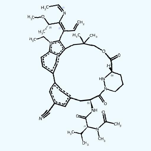 C=C/C(=C(\N=C/C)[C@H](C)OC)c1c2c3cc(ccc3n1CC)-c1cc(C#N)cc(c1)C[C@H](NC(=O)[C@H](C(C)C)N(C)C(C)=O)C(=O)N1CCC[C@H](N1)C(=O)OCC(C)(C)C2